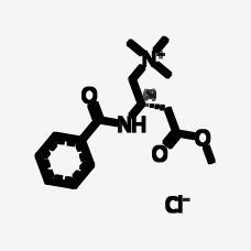 COC(=O)C[C@@H](C[N+](C)(C)C)NC(=O)c1ccccc1.[Cl-]